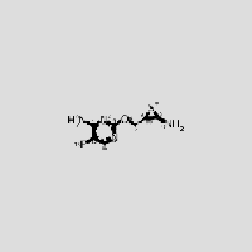 Nc1nc(OC[C@H]2SC2N)ncc1F